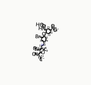 [C-]#[N+]C([N+]#[C-])=C1OC(C)(C)C(/C=C/c2ccc(Oc3ccc([N+](=O)[O-])cc3NOO)c(Br)c2)=C1[N+]#[C-]